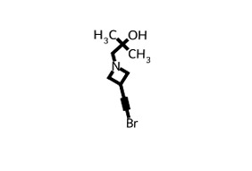 CC(C)(O)CN1CC(C#CBr)C1